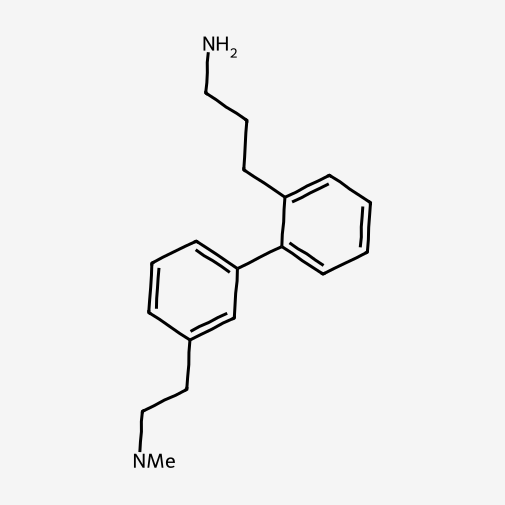 CNCCc1cccc(-c2ccccc2CCCN)c1